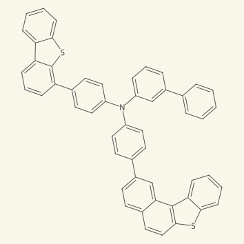 c1ccc(-c2cccc(N(c3ccc(-c4ccc5ccc6sc7ccccc7c6c5c4)cc3)c3ccc(-c4cccc5c4sc4ccccc45)cc3)c2)cc1